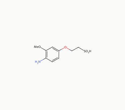 COc1cc(OCCS(=O)(=O)O)ccc1N